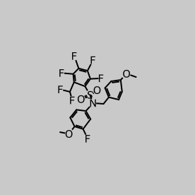 COc1ccc(CN(c2ccc(OC)c(F)c2)S(=O)(=O)c2c(F)c(F)c(F)c(F)c2C(F)F)cc1